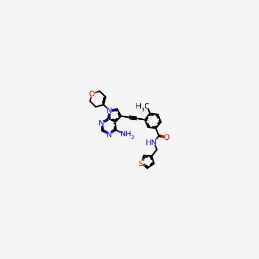 Cc1ccc(C(=O)NCc2ccsc2)cc1C#Cc1cn(C2=CCOCC2)c2ncnc(N)c12